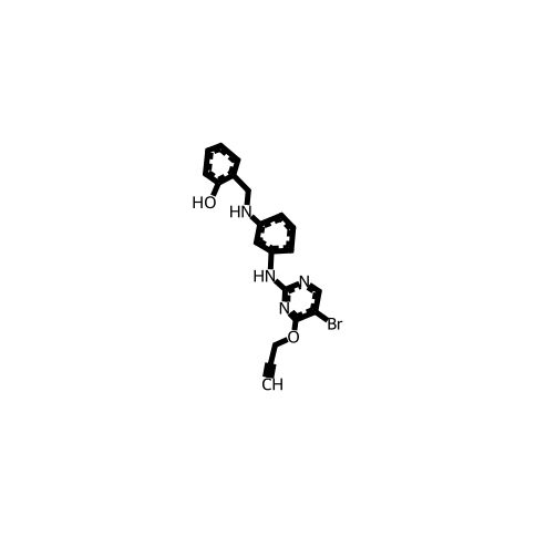 C#CCOc1nc(Nc2cccc(NCc3ccccc3O)c2)ncc1Br